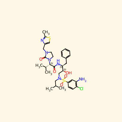 Cc1nc(CN2CCN([C@H](C(=O)N[C@@H](Cc3ccccc3)[C@@H](O)CN(CC(C)C)S(=O)(=O)c3ccc(Cl)c(N)c3)C(C)C)C2=O)cs1